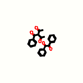 CC(=O)C(C(C)=O)C(=O)c1ccccc1.O=C(C(=O)c1ccccc1)c1ccccc1